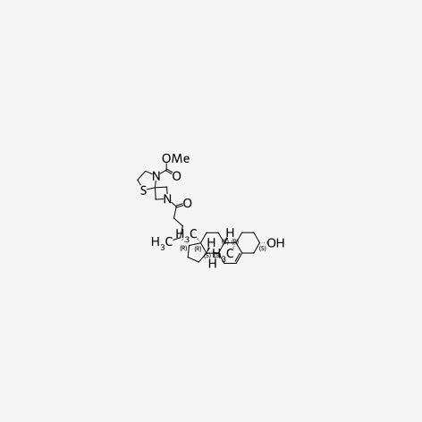 COC(=O)N1CCSC12CN(C(=O)CCC(C)[C@H]1CC[C@H]3[C@@H]4CC=C5C[C@@H](O)CC[C@]5(C)[C@H]4CC[C@]13C)C2